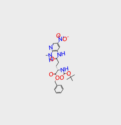 CNc1ncc([N+](=O)[O-])cc1NC(=O)CC[C@H](NC(=O)OC(C)(C)C)C(=O)OCc1ccccc1